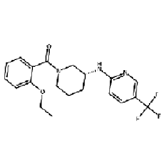 CCOc1ccccc1C(=O)N1CCC[C@@H](Nc2ccc(C(F)(F)F)cn2)C1